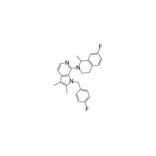 Cc1c(C)n(Cc2ccc(F)cc2)c2c(N3CCc4ccc(F)cc4C3C)nccc12